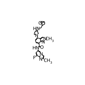 Cc1cn2cc(NC(=O)c3ccc(N4CC[C@@H](NCC56CC(CO5)C6)C4)c4cn(C)nc34)cc(F)c2n1